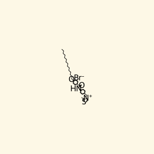 CCCCCCCCCCCCCCOc1ccc(C(=O)Nc2ccc(C[n+]3ccsc3C)cc2)cc1.[Br-]